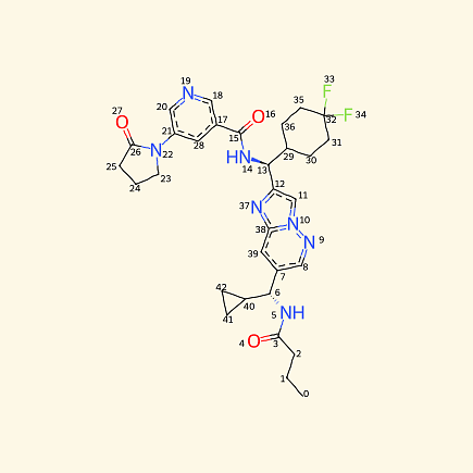 CCCC(=O)N[C@@H](c1cnn2cc([C@@H](NC(=O)c3cncc(N4CCCC4=O)c3)C3CCC(F)(F)CC3)nc2c1)C1CC1